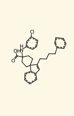 O=C(O)C1(Nc2cccc(Cl)c2)CCC2(CC1)C(CCCCc1ccccc1)=Cc1ccccc12